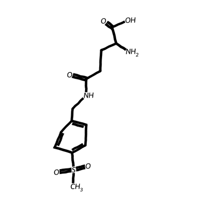 CS(=O)(=O)c1ccc(CNC(=O)CCC(N)C(=O)O)cc1